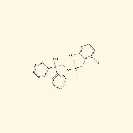 CC(C)(C)[Si](OCC(F)(F)Cc1c(Br)cccc1C(F)(F)F)(c1ccccc1)c1ccccc1